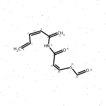 C=C/C=C\C(=C)NC(=O)/C=C\SC=O